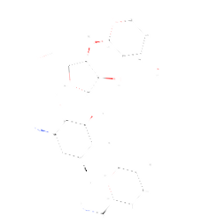 C[C@H]1C[C@@H](N)[C@H](O)[C@@H](O[C@@H]2O[C@H](CO)[C@@H](O[C@@H]3C[C@@H](O)CCO3)[C@H]2O)[C@@H]1O[C@H]1O[C@H](CN)CC[C@H]1O